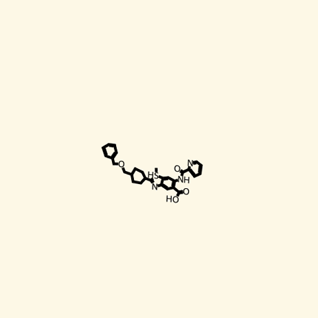 C[SH]1C(C2CCC(COCc3ccccc3)CC2)=Nc2cc(C(=O)O)c(NC(=O)c3ccccn3)cc21